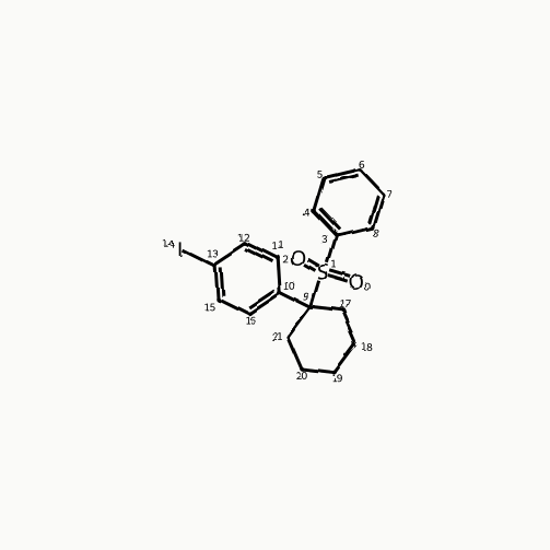 O=S(=O)(c1ccccc1)C1(c2ccc(I)cc2)CCCCC1